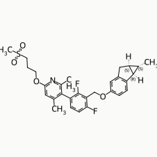 Cc1cc(OCCCS(C)(=O)=O)nc(C)c1-c1ccc(F)c(COc2ccc3c(c2)C[C@H]2[C@H](C)[C@@H]32)c1F